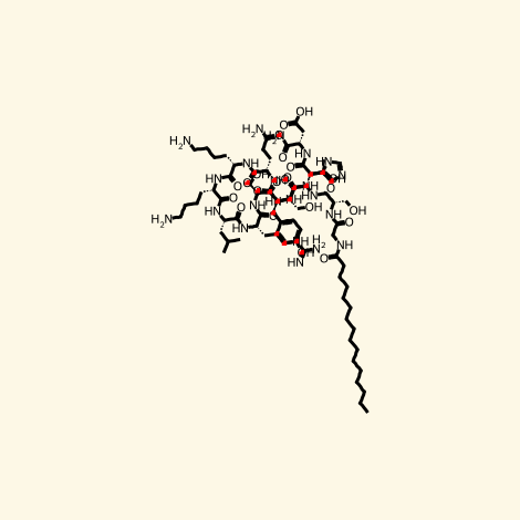 CCCCCCCCCCCCCCCC(=O)NCC(=O)N[C@@H](CO)C(=O)N[C@@H](Cc1cnc[nH]1)C(=O)N[C@@H](Cc1ccc(O)cc1)C(=O)N[C@@H](CCC(N)=O)C(=O)N[C@@H](CCCCN)C(=O)N[C@@H](CCCCN)C(=O)N[C@@H](CC(C)C)C(=O)N[C@@H](CCCNC(=N)N)C(=O)N[C@@H](CO)C(=O)N[C@@H](CO)C(=O)N[C@H](C(=O)N[C@@H](CC(=O)O)C(N)=O)[C@@H](C)O